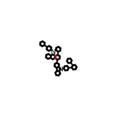 c1ccc(-c2ccc(N(c3ccccc3-c3ccc(-c4ccc5c6ccccc6n(-c6ccc(-c7ccccc7-c7ccccc7)cc6)c5c4)cc3)c3cccc4ccccc34)cc2)cc1